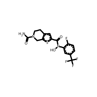 NC(=O)N1CCc2cc(C(=O)N(O)c3cc(C(F)(F)F)ccc3F)sc2C1